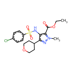 CCOC(=O)c1c(NS(=O)(=O)c2ccc(Cl)cc2)c(C2CCOCC2)nn1C